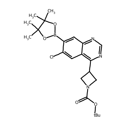 CC(C)(C)OC(=O)N1CC(c2ncnc3cc(B4OC(C)(C)C(C)(C)O4)c(Cl)cc23)C1